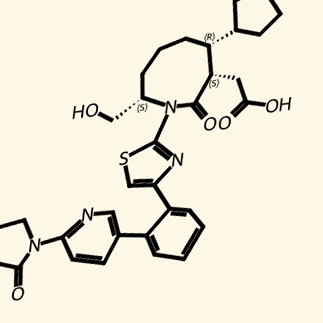 O=C(O)C[C@@H]1C(=O)N(c2nc(-c3ccccc3-c3ccc(N4CCCC4=O)nc3)cs2)[C@H](CO)CCC[C@@H]1C1CCCC1